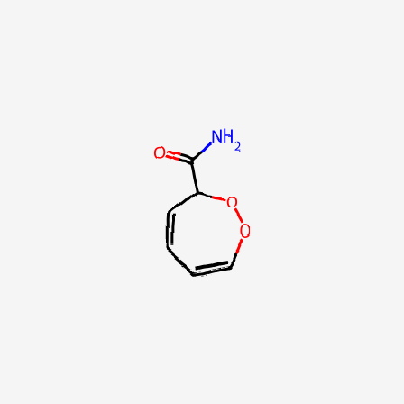 NC(=O)C1C=CC=COO1